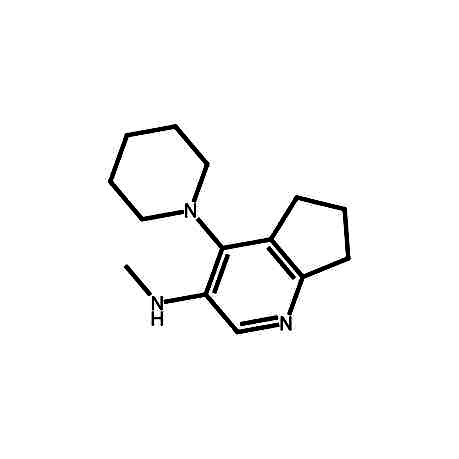 CNc1cnc2c(c1N1CCCCC1)CCC2